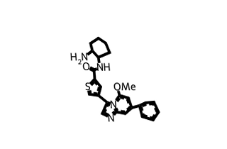 COc1cc(-c2ccccc2)cc2ncc(-c3csc(C(=O)NC4CCCCC4N)c3)n12